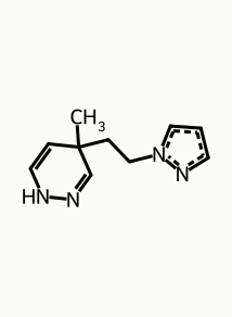 CC1(CCn2cccn2)C=CNN=C1